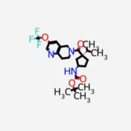 CC(C)[C@]1(C(=O)N2CCc3ncc(OC(F)(F)F)cc3C2)CC[C@@H](NC(=O)OC(C)(C)C)C1